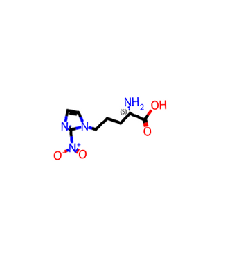 N[C@@H](CCCn1ccnc1[N+](=O)[O-])C(=O)O